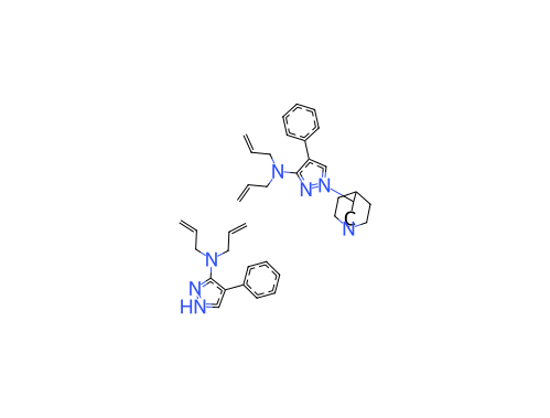 C=CCN(CC=C)c1n[nH]cc1-c1ccccc1.C=CCN(CC=C)c1nn(C2CN3CCC2CC3)cc1-c1ccccc1